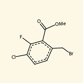 COC(=O)c1c(CBr)ccc(Cl)c1F